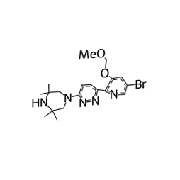 COCOc1cc(Br)cnc1-c1ccc(N2CC(C)(C)NC(C)(C)C2)nn1